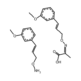 COc1cccc(C=CCON)c1.COc1cccc(C=CCON=C(C)C(=O)O)c1